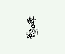 Cc1c(F)c(F)c(F)c(NC(=O)Nc2ccc(-n3cnc4c(N)ncnc43)cc2)c1F